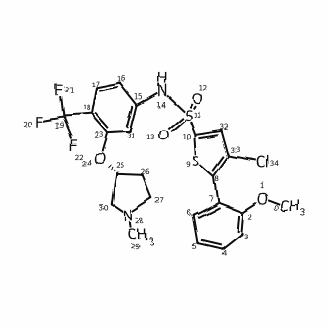 COc1ccccc1-c1sc(S(=O)(=O)Nc2ccc(C(F)(F)F)c(O[C@@H]3CCN(C)C3)c2)cc1Cl